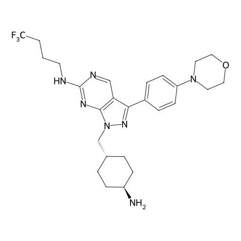 N[C@H]1CC[C@H](Cn2nc(-c3ccc(N4CCOCC4)cc3)c3cnc(NCCCC(F)(F)F)nc32)CC1